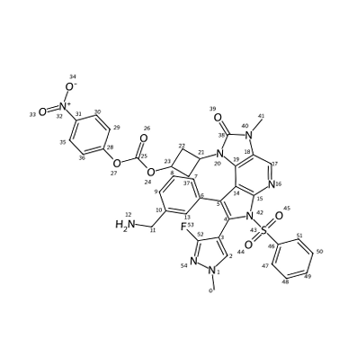 Cn1cc(-c2c(-c3cccc(CN)c3)c3c(ncc4c3n(C3CC(OC(=O)Oc5ccc([N+](=O)[O-])cc5)C3)c(=O)n4C)n2S(=O)(=O)c2ccccc2)c(F)n1